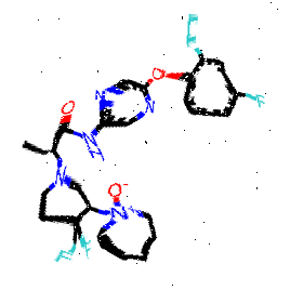 C[C@@H](C(=O)Nc1cnc(Oc2ccc(F)cc2F)cn1)N1CCC(F)(F)C([N+]2([O-])C=CC=CC2)C1